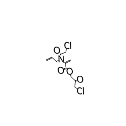 C=CCN(C(=C)C(=O)OCC(=O)CCl)C(=O)CCl